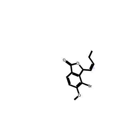 CC/C=C\C1OC(=O)c2ccc(OC)c(Br)c21